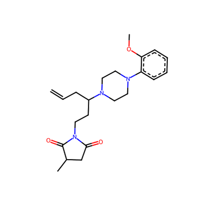 C=CCC(CCN1C(=O)CC(C)C1=O)N1CCN(c2ccccc2OC)CC1